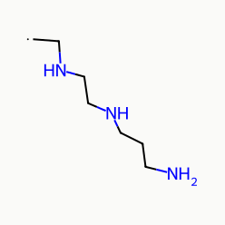 [CH2]CNCCNCCCN